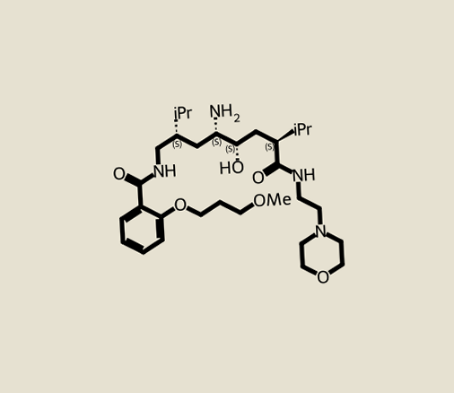 COCCCOc1ccccc1C(=O)NC[C@@H](C[C@H](N)[C@@H](O)C[C@H](C(=O)NCCN1CCOCC1)C(C)C)C(C)C